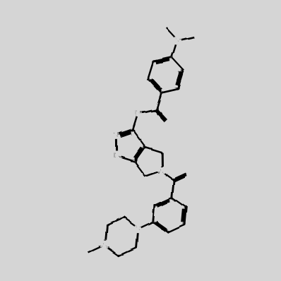 CN1CCN(c2cccc(C(=O)N3Cc4[nH]nc(NC(=O)c5ccc(N(C)C)cc5)c4C3)c2)CC1